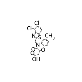 Cc1ccc2c(c1)N(Cc1nc3c(Cl)c(Cl)ccc3s1)C(=O)C(CC(=O)O)O2